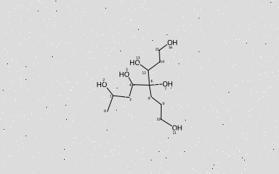 CC(O)CC(O)C(O)(CCCO)C(O)CCO